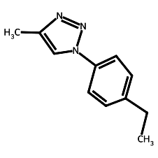 CCc1ccc(-n2cc(C)nn2)cc1